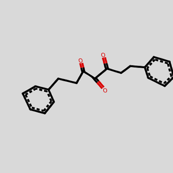 O=C(CCc1ccccc1)C(=O)C(=O)CCc1ccccc1